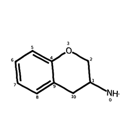 [NH]C1COc2ccccc2C1